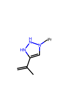 C=C(C)C1=CN(C(C)C)NN1